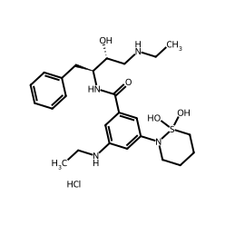 CCNC[C@@H](O)[C@H](Cc1ccccc1)NC(=O)c1cc(NCC)cc(N2CCCCS2(O)O)c1.Cl